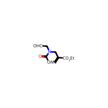 C=C(CN(CC=O)C(=O)OC)C(=O)OCC